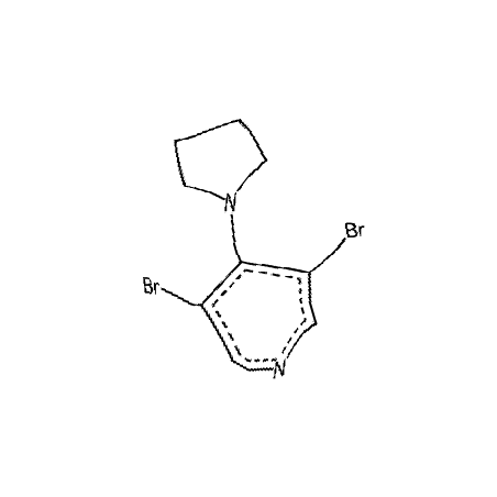 Brc1cncc(Br)c1N1CCCC1